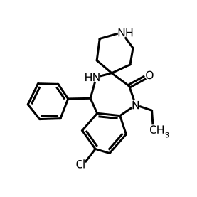 CCN1C(=O)C2(CCNCC2)NC(c2ccccc2)c2cc(Cl)ccc21